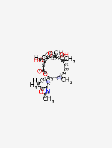 C/C1=C/C[C@@H](/C(C)=C/c2nc(C)oc2C)OC(=O)C[C@H](O)C(C)(C)C(=O)[C@H](C)[C@@H](O)[C@@H](C)CCC1